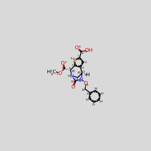 COC(=O)[C@@H]1c2sc(C(=O)O)cc2[C@@H]2CN1C(=O)N2OCc1ccccc1